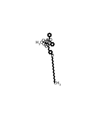 CCCCCCCCCCCCCCCCCCOc1ccc(CCC(=O)N(CC(=O)OC(C)(C)C)c2ccccc2-c2nnc(-c3ccccc3)o2)cc1